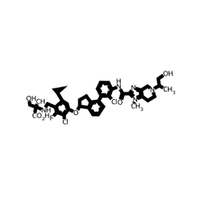 CC(CO)N1CCc2c(nc(C(=O)Nc3cccc(-c4cccc5c4CCC5Oc4cc(C5CC5)c(CNC(C)(CO)C(=O)O)c(F)c4Cl)c3Cl)n2C)C1